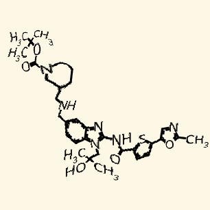 Cc1ncc(-c2ccc(C(=O)Nc3nc4cc(CNCC5CCCN(C(=O)OC(C)(C)C)C5)ccc4n3CC(C)(C)O)s2)o1